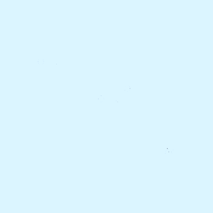 CC(=O)CCCCC(=O)OCC1CCC2OC2C1